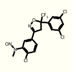 CN(N=O)c1cc(C2=NOC(c3cc(Cl)cc(Cl)c3)(C(F)(F)F)C2)ccc1Cl